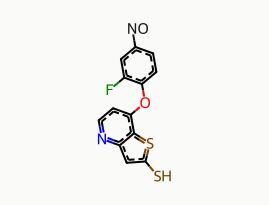 O=Nc1ccc(Oc2ccnc3cc(S)sc23)c(F)c1